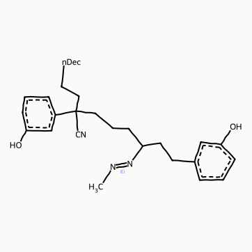 CCCCCCCCCCCCC(C#N)(CCCC(CCc1cccc(O)c1)/N=N/C)c1cccc(O)c1